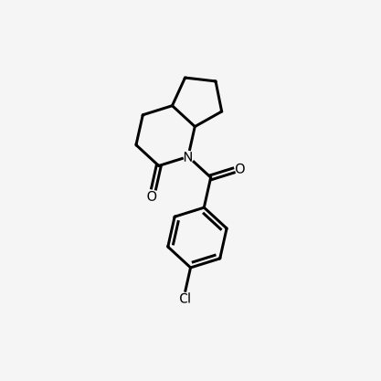 O=C1CCC2CCCC2N1C(=O)c1ccc(Cl)cc1